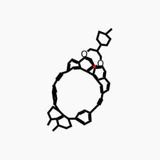 CC1CCC(C2COc3ccc4ccc5cc4c3-c3c(ccc4ccc(cc34)C#Cc3ccc(cc3)C3CCC(C)C4=C3C(CCC4C)c3ccc(cc3)C#C5)OC2)CC1